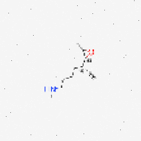 C#C[C@H](CCCCNC)[C@@H]1OC1C